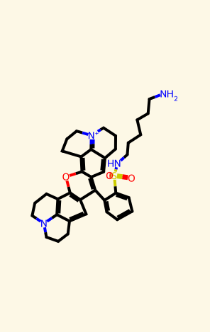 NCCCCCCNS(=O)(=O)c1ccccc1C1=c2cc3c4c(c2Oc2c1cc1c5c2CCCN5CCC1)CCC[N+]=4CCC3